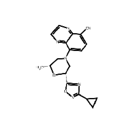 C[C@@H]1CN(c2ccc(C#N)c3nccnc23)C[C@H](c2nc(C3CC3)no2)O1